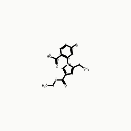 CCOC(=O)c1cc(CC)n(-c2cc(Cl)ccc2C(=O)O)c1